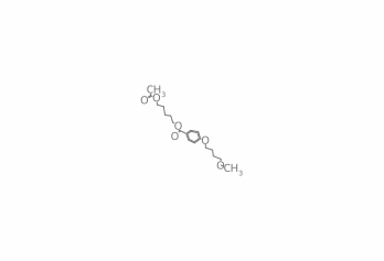 COCCCCOc1ccc(C(=O)OCCCCCOC(C)=O)cc1